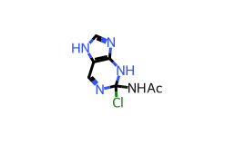 CC(=O)NC1(Cl)N=Cc2[nH]cnc2N1